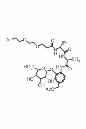 CC(=O)CCOCCOCCC(=O)N[C@H](C(=O)N[C@@H](C)C(=O)Nc1ccc(COC(C)=O)cc1O[C@@H]1O[C@H](C(=O)O)[C@@H](O)[C@H](O)[C@H]1O)C(C)C